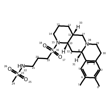 Cc1cc2c(cc1C)[C@@H]1C[C@H]3[C@H](CCCN3S(=O)(=O)CCCNS(C)(=O)=O)CN1CC2